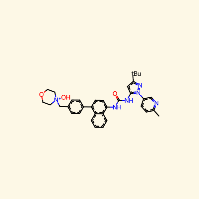 Cc1ccc(-n2nc(C(C)(C)C)cc2NC(=O)Nc2ccc(-c3ccc(C[N+]4(O)CCOCC4)cc3)c3ccccc23)cn1